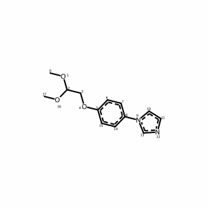 COC(COc1ccc(-n2ccnc2)cc1)OC